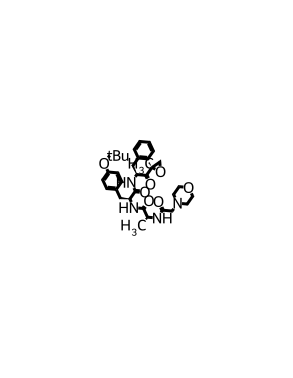 C[C@H](NC(=O)CN1CCOCC1)C(=O)N[C@@H](Cc1ccc(OC(C)(C)C)cc1)C(=O)N[C@@H](Cc1ccccc1)C(=O)[C@@]1(C)CO1